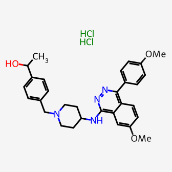 COc1ccc(-c2nnc(NC3CCN(Cc4ccc(C(C)O)cc4)CC3)c3cc(OC)ccc23)cc1.Cl.Cl